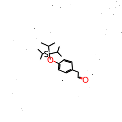 CC(C)[Si](Oc1ccc(CC=O)cc1)(C(C)C)C(C)C